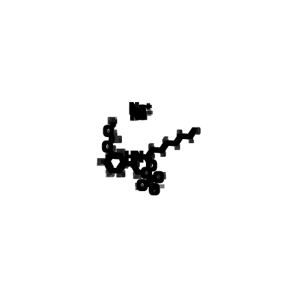 CCCCCCCC(=O)NC(COP(=O)([O-])[O-])c1cccc(OCOC)c1.[Na+].[Na+]